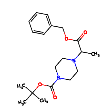 CC(C(=O)OCc1ccccc1)N1CCN(C(=O)OC(C)(C)C)CC1